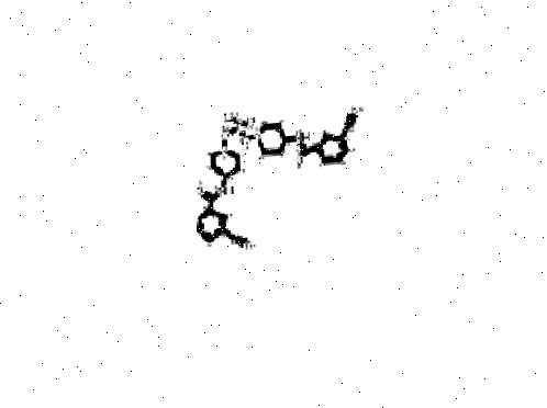 N#Cc1cccc(C(=O)NC2CCN(OP(=O)(Cl)ON3CCC(NC(=O)c4cccc(C#N)c4)CC3)CC2)c1